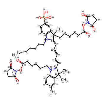 CCCCCCCN1\C(=C/C=C/C=C/C2=[N+](CCCCCC(=O)ON3C(=O)CCC3=O)c3ccc(C)cc3C2(C)C)C(C)(CCCCCC(=O)ON2C(=O)CCC2=O)c2cc(S(=O)(=O)O)ccc21